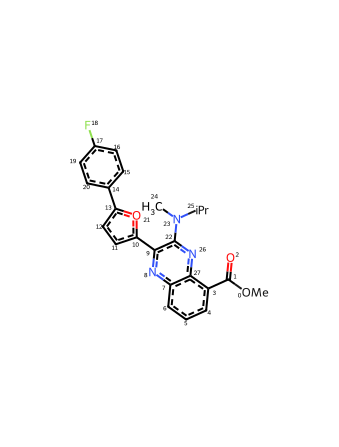 COC(=O)c1cccc2nc(-c3ccc(-c4ccc(F)cc4)o3)c(N(C)C(C)C)nc12